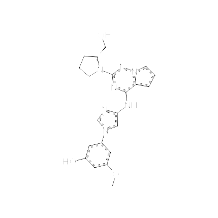 COc1cc(O)cc(-n2cnc(Nc3nc(N4CCC[C@H]4CO)nn4cccc34)c2)c1